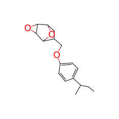 CCC(C)c1ccc(OCC2CC3OC2C2OC32)cc1